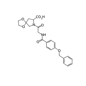 O=C(NCC(=O)N1CC2(CC1C(=O)O)OCCO2)c1ccc(OCc2ccccc2)cc1